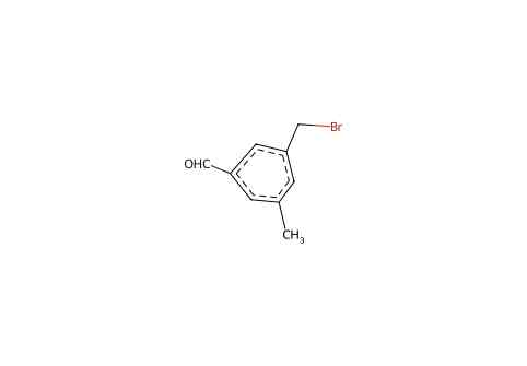 Cc1cc(C=O)cc(CBr)c1